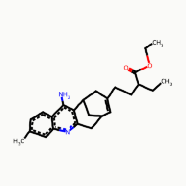 CCOC(=O)C(CC)CCC1=CC2Cc3nc4cc(C)ccc4c(N)c3C(C1)C2